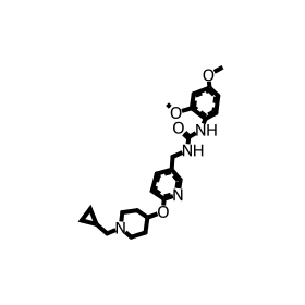 COc1ccc(NC(=O)NCc2ccc(OC3CCN(CC4CC4)CC3)nc2)c(OC)c1